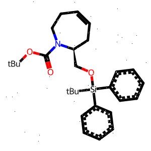 CC(C)(C)OC(=O)N1CCC=CC[C@H]1CO[Si](c1ccccc1)(c1ccccc1)C(C)(C)C